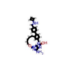 Nc1nc2nc3c1nc(O)n3Cc1ccc(-c3ccc(CNC4CCC4)cc3)c(c1)CCCCCO2